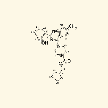 Cc1ccc2c(N3CCN(C(=O)OCC4CCCC4)CC3)nc(-c3ccccc3O)nc2c1